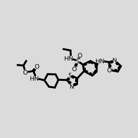 CCNS(=O)(=O)c1cc(Nc2ncco2)ccc1-c1cnc(C2CCC(NC(=O)OC(C)C)CC2)s1